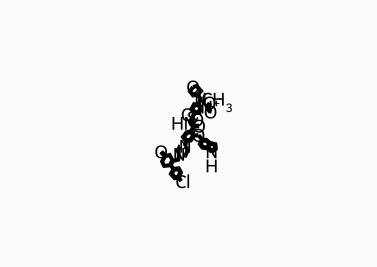 CN(c1ccc(S(=O)(=O)NC(=O)c2ccc(N3CCN(CC4=C(c5ccc(Cl)cc5)CCC(=O)C4)CC3)cc2Oc2ccc3[nH]ccc3c2)cc1[N+](=O)[O-])C1CCOCC1